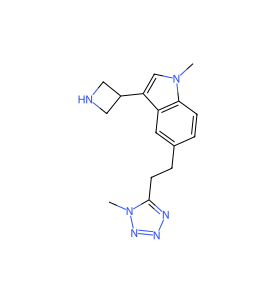 Cn1nnnc1CCc1ccc2c(c1)c(C1CNC1)cn2C